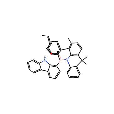 C=C(/C=C\C=C/C)B(c1cccc2c1[nH]c1ccccc12)N1c2ccccc2C(C)(C)c2ccc(C)c(-c3ccccc3C)c21